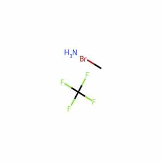 CBr.FC(F)(F)F.N